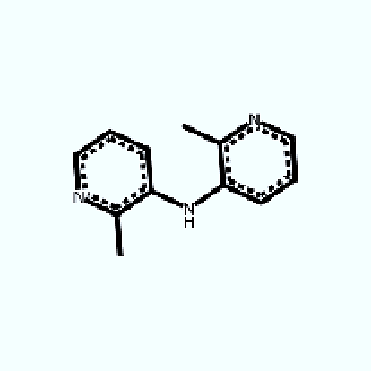 Cc1ncccc1Nc1cccnc1C